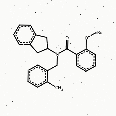 CCCCOc1ccccc1C(=O)N(Cc1ccccc1C)C1Cc2ccccc2C1